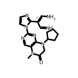 CN1C(=O)CN(C2CCCC2)c2nc(-n3ccnc3/C(C=N)=C/N)ncc21